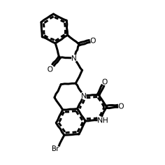 O=C1c2ccccc2C(=O)N1CC1CCc2cc(Br)cc3[nH]c(=O)c(=O)n1c23